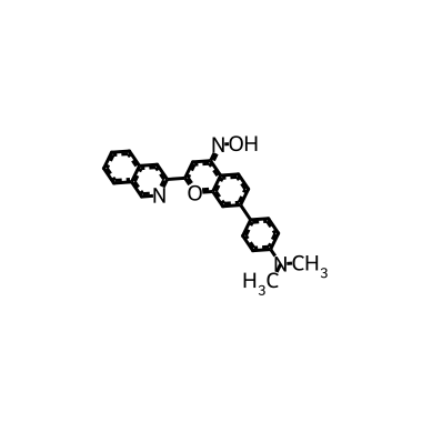 CN(C)c1ccc(-c2ccc3/c(=N\O)cc(-c4cc5ccccc5cn4)oc3c2)cc1